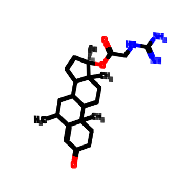 CC(=O)[C@@]1(OC(=O)CNC(=N)N)CCC2C3CC(C)C4=CC(=O)CCC4(C)C3CCC21C